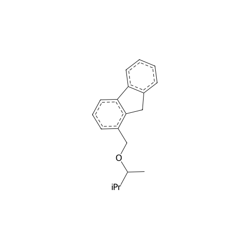 CC(C)C(C)OCc1cccc2c1Cc1ccccc1-2